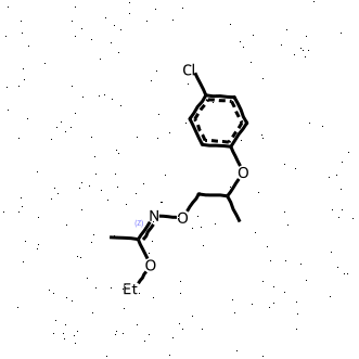 CCO/C(C)=N\OCC(C)Oc1ccc(Cl)cc1